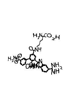 N=C(N)c1ccc2[nH]c(-c3cc(C(=O)NCCCCC(N)C(=O)O)cc(-c4cc(S(N)(=O)=O)ccc4O)c3O)nc2c1